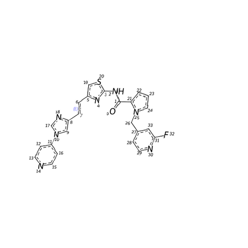 O=C(Nc1nc(/C=C/c2cn(-c3ccncc3)cn2)cs1)c1cccn1Cc1ccnc(F)c1